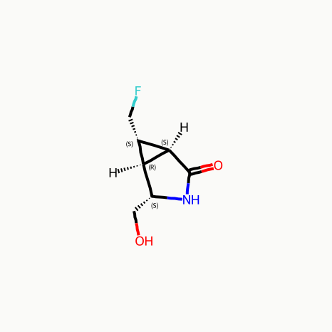 O=C1N[C@H](CO)[C@H]2[C@H](CF)[C@@H]12